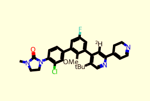 [2H]c1c(C2=CC=NCC2)ncc(C(C)(C)C)c1-c1cc(F)cc(-c2ccc(N3CCN(C)C3=O)c(Cl)c2)c1OC